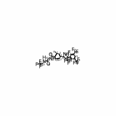 Cc1cc(C2=NO[C@@](c3cc(C(F)(F)F)cc(C(F)F)c3F)(C(F)(F)F)C2)ccc1C(=O)NCC(=O)NCC(F)(F)F